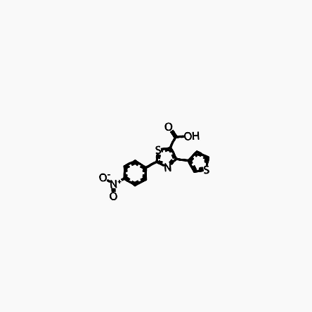 O=C(O)c1sc(-c2ccc([N+](=O)[O-])cc2)nc1-c1ccsc1